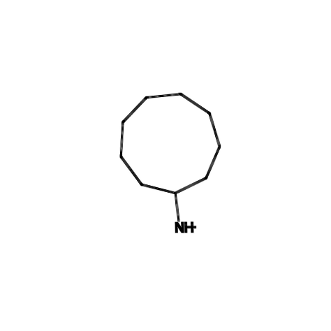 [NH]C1CCCCCCCC1